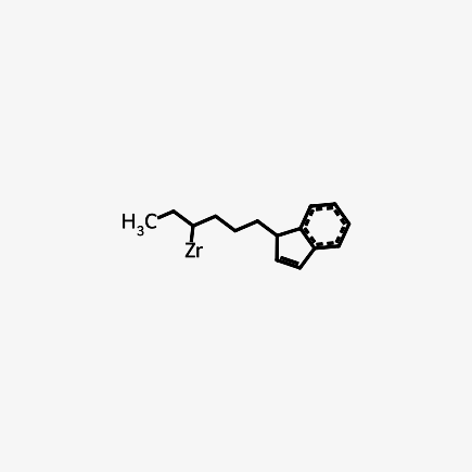 CC[CH]([Zr])CCCC1C=Cc2ccccc21